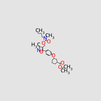 CCCCN(C)C(=O)OCc1c(C)noc1-c1ccc(OC2CCCC(C(=O)OC(C)C)C2)cc1